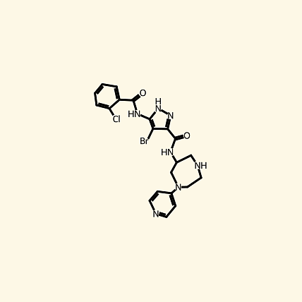 O=C(Nc1[nH]nc(C(=O)NC2CNCCN(c3ccncc3)C2)c1Br)c1ccccc1Cl